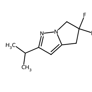 CC(C)c1cc2n(n1)CC(F)(F)C2